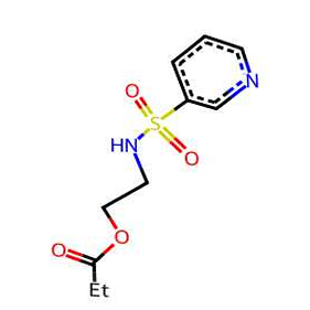 CCC(=O)OCCNS(=O)(=O)c1cccnc1